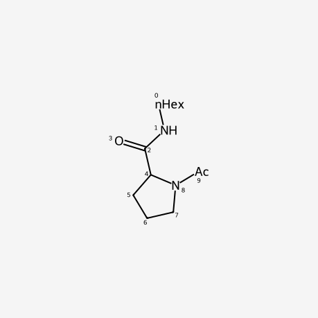 CCCCCCNC(=O)C1CCCN1C(C)=O